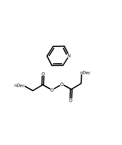 CCCCCCCCCCCC(=O)OOC(=O)CCCCCCCCCCC.c1ccncc1